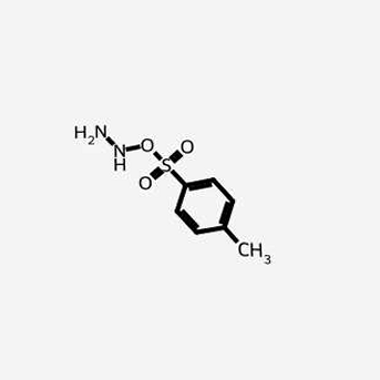 Cc1ccc(S(=O)(=O)ONN)cc1